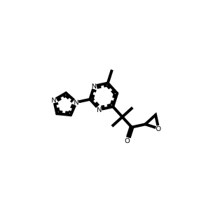 Cc1cc(C(C)(C)C(=O)C2CO2)nc(-n2ccnc2)n1